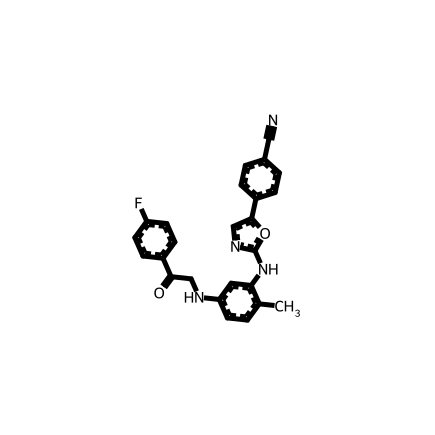 Cc1ccc(NCC(=O)c2ccc(F)cc2)cc1Nc1ncc(-c2ccc(C#N)cc2)o1